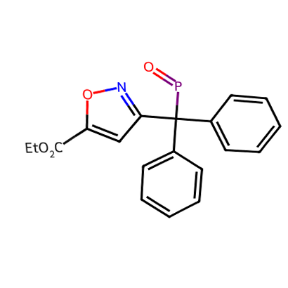 CCOC(=O)c1cc(C(P=O)(c2ccccc2)c2ccccc2)no1